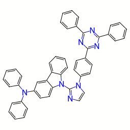 c1ccc(-c2nc(-c3ccccc3)nc(-c3ccc(-n4ccnc4-n4c5ccccc5c5cc(N(c6ccccc6)c6ccccc6)ccc54)cc3)n2)cc1